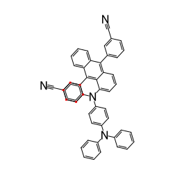 N#Cc1cccc(-c2c3ccccc3c(-c3cccc(C#N)c3)c3c(N(c4ccccc4)c4ccc(N(c5ccccc5)c5ccccc5)cc4)cccc23)c1